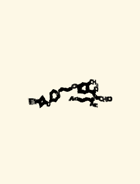 CCC1CC(OC2CCN(CCOc3ccc(C(=O)N(C=O)C(CCC(C)=O)C(C)=O)c(C)c3)CC2)C1